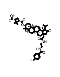 CC(C)C1=C2[C@H]3CC[C@@H]4[C@@]5(C)CC[C@H](OC(=O)[C@H]6C[C@@H](C(=O)O)C6(C)C)C(C)(C)[C@@H]5CC[C@@]4(C)[C@]3(C)CC[C@@]2(CC(=O)NCCNC(=O)c2ccc(Cl)cc2)CC1=O